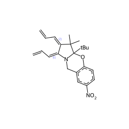 C=C/C=C1\C(=C/C=C)N2Cc3cc([N+](=O)[O-])ccc3OC2(C(C)(C)C)C1(C)C